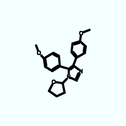 COc1ccc(-c2ncn(C3CCCO3)c2-c2ccc(OC)cc2)cc1